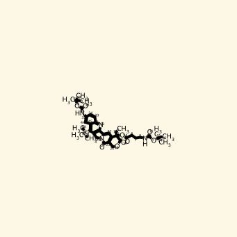 CCC1(OC(=O)CCCNC(=O)OC(C)(C)C)C(=O)OCc2c1cc1n(c2=O)Cc2c-1nc1ccc(NC(=O)OC(C)(C)C)cc1c2[Si](C)(C)C